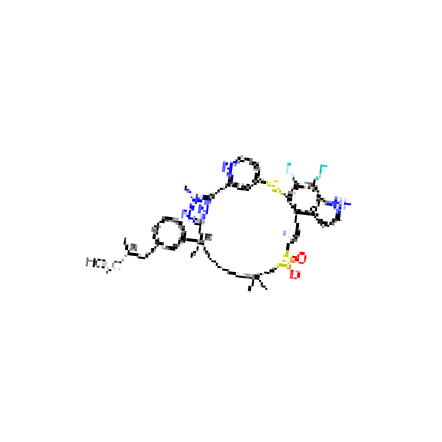 C[C@H](Cc1cccc([C@@]2(C)CCCC(C)(C)CS(=O)(=O)/C=C/c3c(c(F)c(F)c4[nH]ccc34)Sc3ccnc(c3)-c3nc2nn3C)c1)C(=O)O